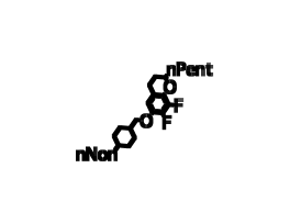 CCCCCCCCCC1CCC(COc2cc3c(c(F)c2F)OC(CCCCC)CC3)CC1